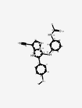 CSc1ccc(-c2[nH]c3c(C#N)cnn3c2Nc2cccc(NC(C)=O)c2)cc1